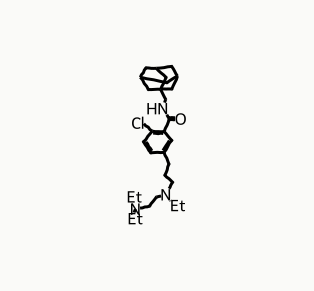 CCN(CC)CCN(CC)CCCc1ccc(Cl)c(C(=O)NCC23CC4CC(CC(C4)C2)C3)c1